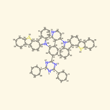 c1ccc(-c2nc(-c3ccccc3)nc(-c3ccc(-c4cnccc4-n4c5ccccc5c5c6sc7ccccc7c6ccc54)c(-n4c5ccccc5c5c6sc7ccccc7c6ccc54)c3)n2)cc1